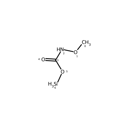 CONC(=O)O[SiH3]